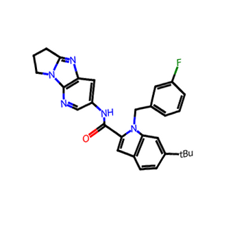 CC(C)(C)c1ccc2cc(C(=O)Nc3cnc4c(c3)nc3n4CCC3)n(Cc3cccc(F)c3)c2c1